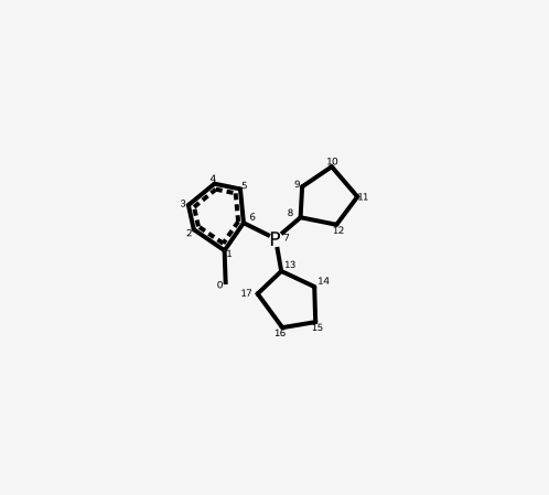 Cc1ccccc1P(C1CCCC1)C1CCCC1